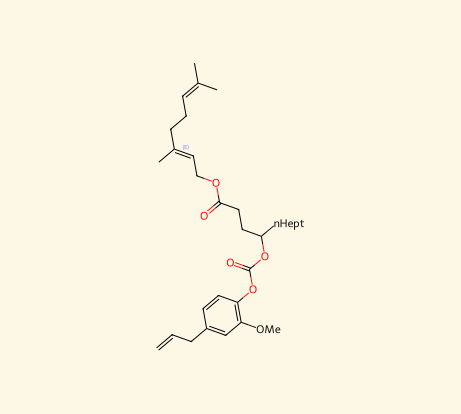 C=CCc1ccc(OC(=O)OC(CCCCCCC)CCC(=O)OC/C=C(\C)CCC=C(C)C)c(OC)c1